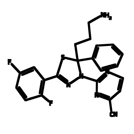 N#Cc1ccnc(N2N=C(c3cc(F)ccc3F)SC2(CCCN)c2ccccc2)n1